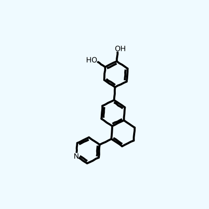 Oc1ccc(-c2ccc3c(c2)CCC=C3c2ccncc2)cc1O